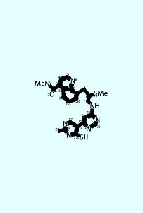 CNC(=O)c1ccnc2c(CC(CNc3cc(-c4cnc(C)nc4S)ncn3)SC)cccc12